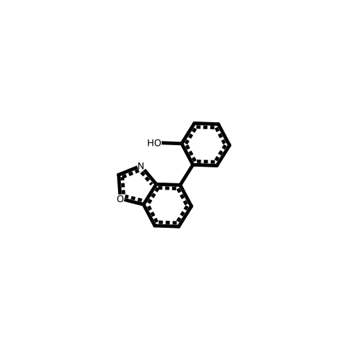 Oc1ccccc1-c1cccc2ocnc12